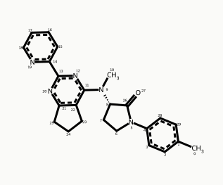 Cc1ccc(N2CC[C@H](N(C)c3nc(-c4ccccn4)nc4c3CCC4)C2=O)cc1